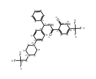 O=C(NC(c1ccccc1)c1ccc(N2CCN(CC(F)(F)F)CC2)cc1)c1ccc(C(F)(F)F)[nH]c1=O